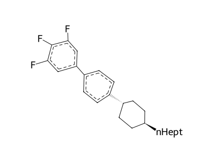 CCCCCCC[C@H]1CC[C@H](c2ccc(-c3cc(F)c(F)c(F)c3)cc2)CC1